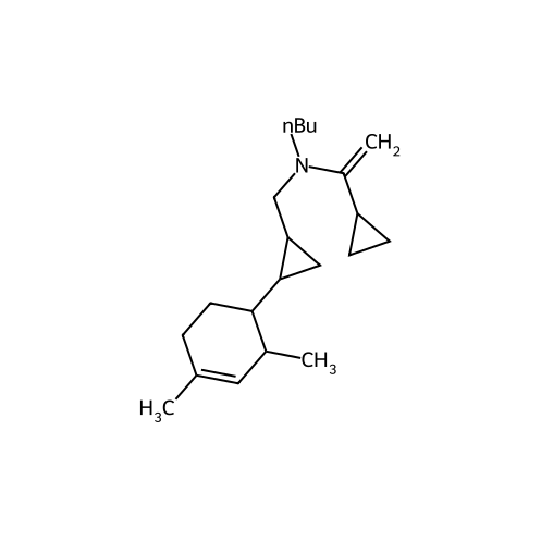 C=C(C1CC1)N(CCCC)CC1CC1C1CCC(C)=CC1C